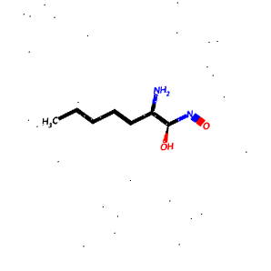 CCCCCC(N)[C@H](O)N=O